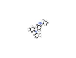 Cc1ccccc1Nc1ccc2c(c1)c1ccccc1n2-c1ccccc1